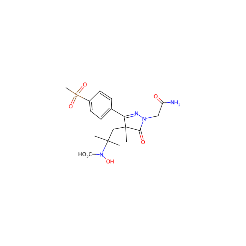 CC1(CC(C)(C)N(O)C(=O)O)C(=O)N(CC(N)=O)N=C1c1ccc(S(C)(=O)=O)cc1